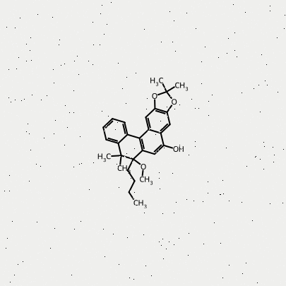 CCCCC1(OC)c2cc(O)c3cc4c(cc3c2-c2ccccc2C1(C)C)OC(C)(C)O4